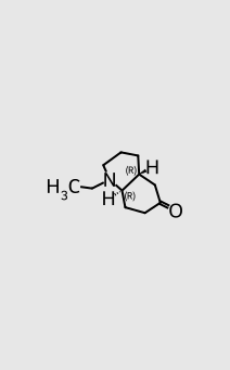 CCN1CCC[C@@H]2CC(=O)CC[C@H]21